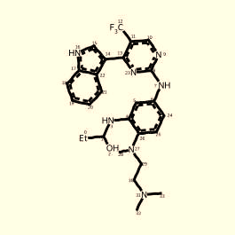 CCC(O)Nc1cc(Nc2ncc(C(F)(F)F)c(-c3c[nH]c4ccccc34)n2)ccc1N(C)CCN(C)C